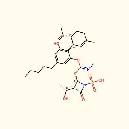 C=C(C)[C@@H]1CCC(C)=C[C@H]1c1c(O)cc(CCCCC)cc1O/C(=N\C)S[C@@H]1[C@@H]([C@@H](C)O)C(=O)N1S(=O)(=O)O